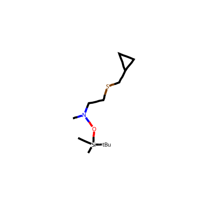 CN(CCSCC1CC1)O[Si](C)(C)C(C)(C)C